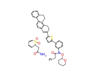 CC(C)CC(=O)N(OC1CCCCO1)c1cccc(-c2ccc(C3=Cc4ccc5c(c4CC3)CCc3ccccc3-5)s2)c1.NC(=O)CC1C=CC=CS1(=O)=O